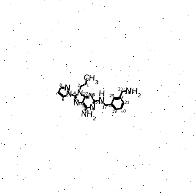 CCCn1c(-n2cccn2)nc2c(N)nc(NCc3cccc(CN)c3)nc21